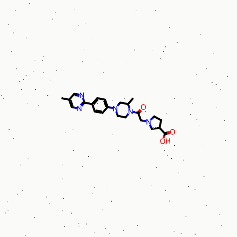 Cc1cnc(-c2ccc(N3CCN(C(=O)CN4CCC(C(=O)O)C4)C(C)C3)cc2)nc1